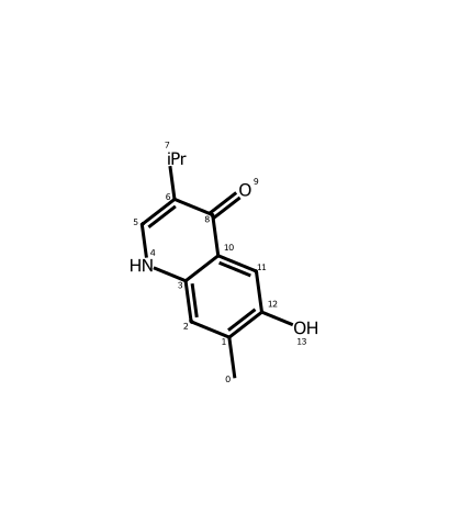 Cc1cc2[nH]cc(C(C)C)c(=O)c2cc1O